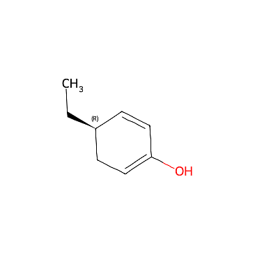 CC[C@H]1C=CC(O)=CC1